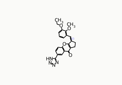 CCOc1cccc(/C=C2/CCc3c2oc2ccc(-c4nnn[nH]4)cc2c3=O)c1OC